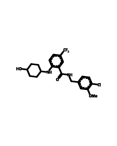 COc1cc(CNC(=O)c2cc(C(F)(F)F)ccc2NC2CCC(O)CC2)ccc1Cl